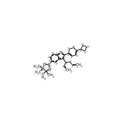 C=CCC(C=C)c1c(C2=CC=C(C3CCC3)CC2)oc2ccc(B3OC(C)(C)[N+](C)(C)O3)cc12